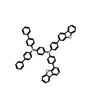 c1ccc(-c2ccc(N(c3ccc(-c4ccccc4)cc3)c3ccc(N(c4ccc(-c5ccc6c(c5)oc5ccccc56)cc4)c4ccc(-c5cccc6c5oc5ccccc56)cc4)cc3)cc2)cc1